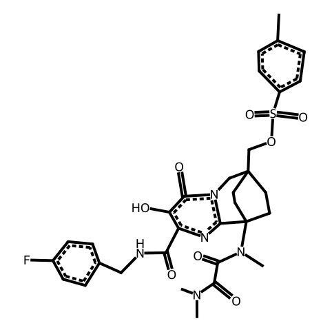 Cc1ccc(S(=O)(=O)OCC23CCC(N(C)C(=O)C(=O)N(C)C)(CC2)c2nc(C(=O)NCc4ccc(F)cc4)c(O)c(=O)n2C3)cc1